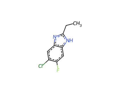 CCc1nc2cc(Cl)c(F)cc2[nH]1